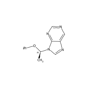 CC(C)O[C@H](C)n1cnc2cncnc21